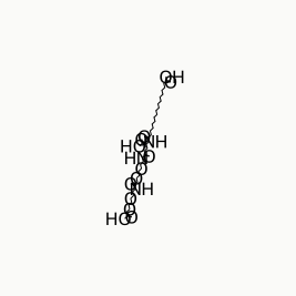 O=C(O)CCCCCCCCCCCCCCCCC(=O)NC(CCC(=O)NCCOCCOCC(=O)NCCOCCOCC(=O)O)C(=O)O